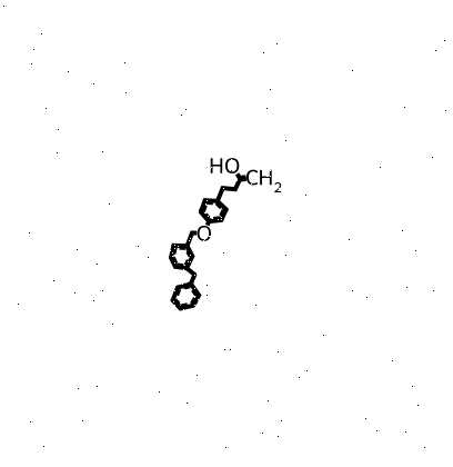 C=C(O)CCc1ccc(OCc2cccc(Cc3ccccc3)c2)cc1